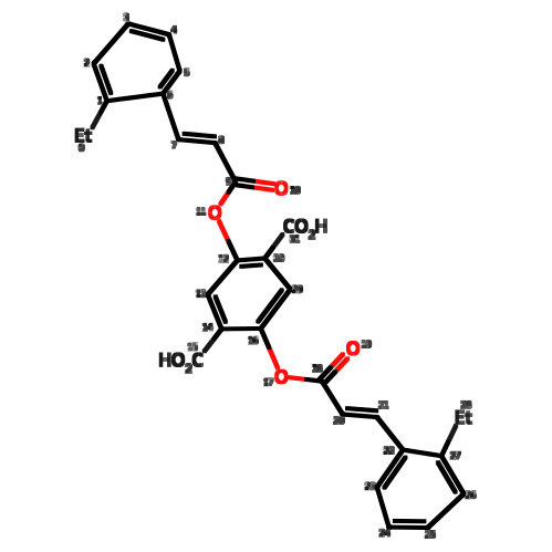 CCc1ccccc1C=CC(=O)Oc1cc(C(=O)O)c(OC(=O)C=Cc2ccccc2CC)cc1C(=O)O